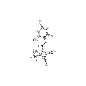 CCC[N+](C)(C)c1c(NCc2c(C)cc(Cl)cc2Cl)c(=O)c1=O